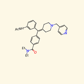 CCN(CC)C(=O)c1ccc(C(=C2CCN(Cc3ccncc3)CC2)c2cccc(NC(C)=O)c2)cc1